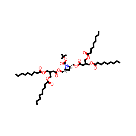 CCCCCCCCC(=O)OCC(COC(=O)CCCCCCCC)CC(=O)OC[C@@H]1C[C@H](COC(=O)CC(COC(=O)CCCCCCCC)COC(=O)CCCCCCCC)N1C(=O)OC(C)(C)C